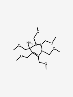 COCC1=C(COC)C(N)(COC)N(COC)N(COC)N1COC